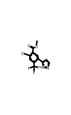 COC(=O)c1cc(-c2ccn[nH]2)c(C(F)(F)F)cc1Cl